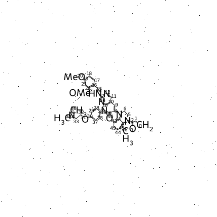 C=CC(=O)N1CCN(c2cc3cnc(NCc4ccc(OC)cc4OC)nc3n(-c3ccc(OCCN(C)C)cc3)c2=O)c2cccc(C)c21